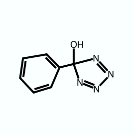 OC1(c2ccccc2)N=NN=N1